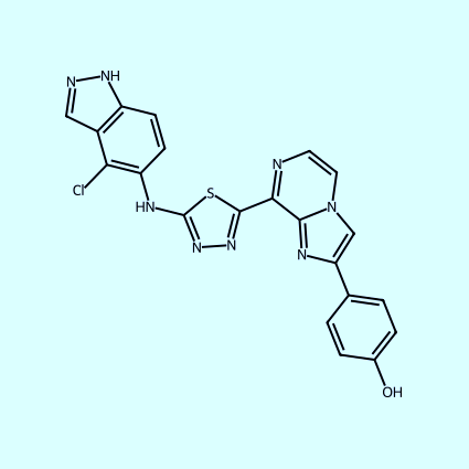 Oc1ccc(-c2cn3ccnc(-c4nnc(Nc5ccc6[nH]ncc6c5Cl)s4)c3n2)cc1